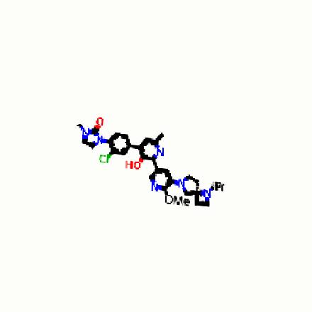 COc1ncc(-c2nc(C)cc(-c3ccc(-n4ccn(C)c4=O)c(Cl)c3)c2O)cc1N1CC[C@]2(CCN2C(C)C)C1